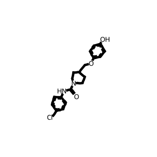 O=C(Nc1ccc(Cl)cc1)N1CCC(COc2ccc(O)cc2)CC1